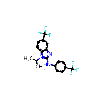 CC(C)n1c(Nc2ccc(C(F)(F)F)cc2)nc2cc(C(F)(F)F)ccc21